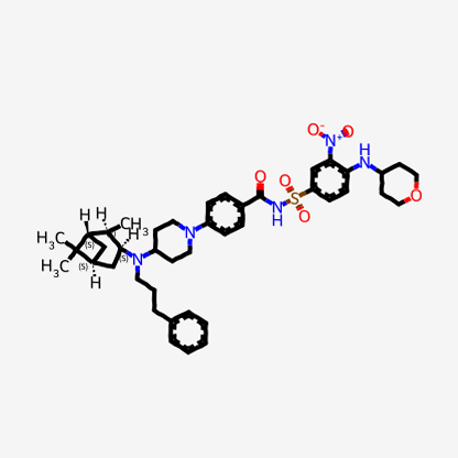 C[C@H]1[C@@H](N(CCCc2ccccc2)C2CCN(c3ccc(C(=O)NS(=O)(=O)c4ccc(NC5CCOCC5)c([N+](=O)[O-])c4)cc3)CC2)C[C@@H]2C[C@@H]1C2(C)C